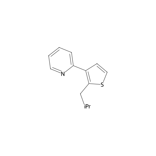 CC(C)Cc1sccc1-c1ccccn1